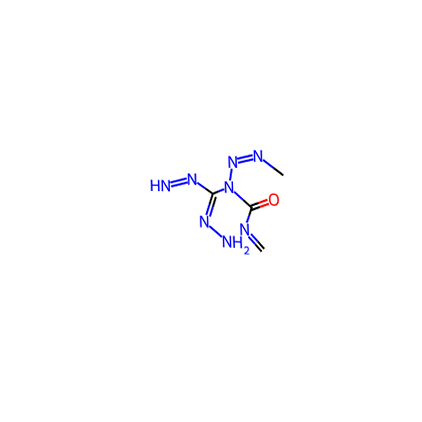 C=NC(=O)N(/N=N\C)/C(N=N)=N\N